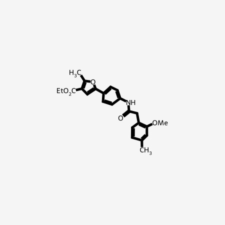 CCOC(=O)c1cc(-c2ccc(NC(=O)Cc3ccc(C)cc3OC)cc2)oc1C